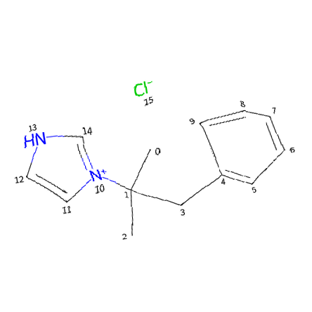 CC(C)(Cc1ccccc1)[n+]1cc[nH]c1.[Cl-]